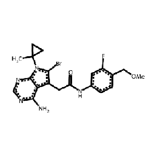 COCc1ccc(NC(=O)Cc2c(Br)n(C3(C)CC3)c3ncnc(N)c23)cc1F